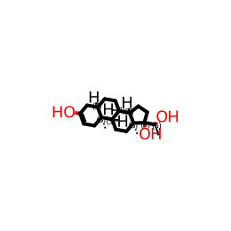 C[C@H](O)[C@@]1(O)CC[C@H]2[C@@H]3CC[C@@H]4CC(O)=CC[C@]4(C)[C@H]3CC[C@@]21C